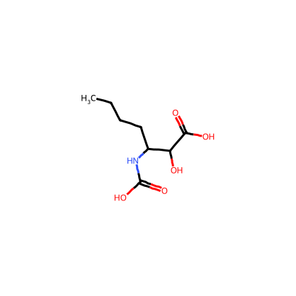 CCCCC(NC(=O)O)C(O)C(=O)O